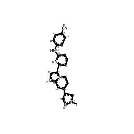 Cn1cc(-c2ccn3c(-c4cccc(Nc5ccc(C#N)cc5)n4)cnc3c2)cn1